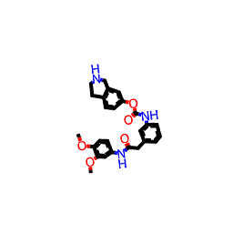 COc1ccc(NC(=O)Cc2cccc(NC(=O)Oc3ccc4c(c3)CNCC4)c2)cc1OC